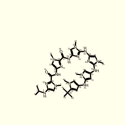 CC(C)Nc1cn(C)c(C(=O)Nc2cn(C)c(C(=O)Nc3cn(C)c(Nc4cn(C)c(Nc5cc(Nc6cc(C(C)(C)C)n(C)c6)n(C)c5)n4)n3)n2)n1